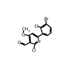 COc1cc(-c2cccc(Br)c2Cl)nc(Cl)c1C=O